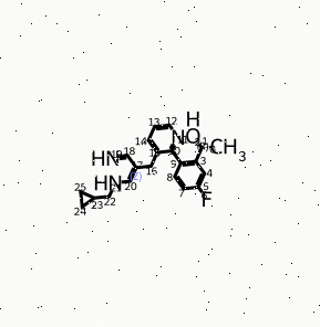 C[C@@H](O)c1cc(F)ccc1-c1ncccc1C/C(C=N)=C/NCC1CC1